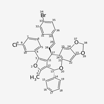 Cc1oc(-c2cccc(Cl)c2)c2c1[C@@H](c1ccccc1)Oc1cc3c(cc1[C@@H]2/C=C/c1ccc(Br)cc1)OCO3